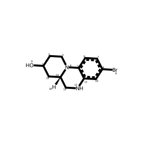 OC1CCN2c3ccc(Br)cc3NC[C@@H]2C1